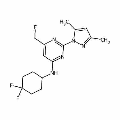 Cc1cc(C)n(-c2nc(CF)cc(NC3CCC(F)(F)CC3)n2)n1